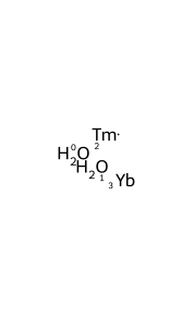 O.O.[Tm].[Yb]